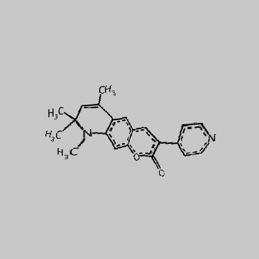 CC1=CC(C)(C)N(C)c2cc3oc(=O)c(-c4ccncc4)cc3cc21